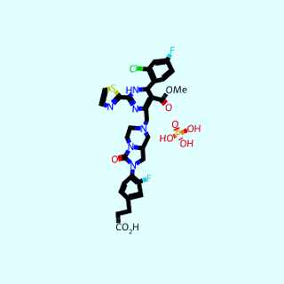 COC(=O)C1=C(CN2CCN3C(=O)N(c4ccc(CCC(=O)O)cc4F)CC3C2)N=C(c2nccs2)NC1c1ccc(F)cc1Cl.O=P(O)(O)O